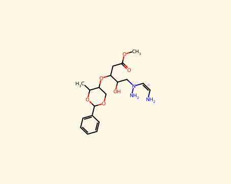 COC(=O)CC(OC1COC(c2ccccc2)OC1C)C(O)CN(N)/C=C\N